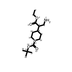 CCOC(=O)C(CN)C1CCN(C(=O)OC(C)(C)C)CC1